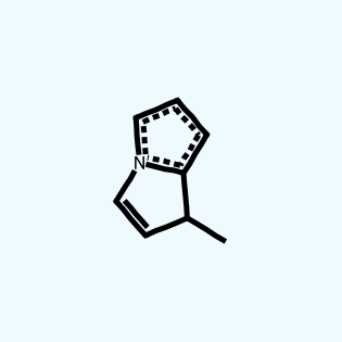 CC1C=Cn2cccc21